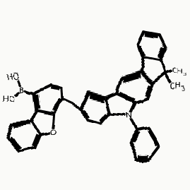 CC1(C)c2ccccc2-c2cc3c4cc(-c5ccc(B(O)O)c6c5oc5ccccc56)ccc4n(-c4ccccc4)c3cc21